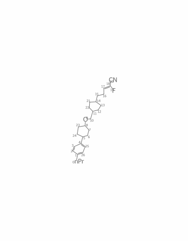 CCCc1ccc(C2CCC(OCC3CCC(CCC=C(F)C#N)CC3)CC2)cc1